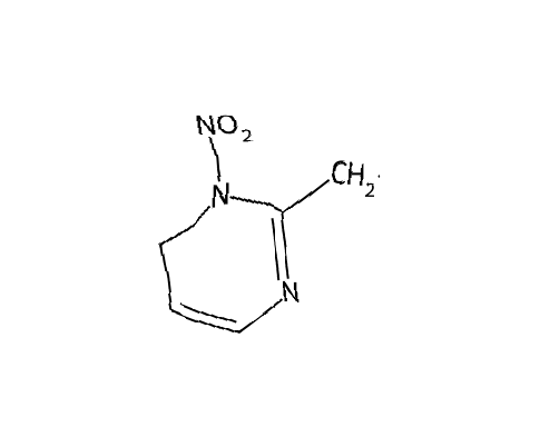 [CH2]C1=NC=CCN1[N+](=O)[O-]